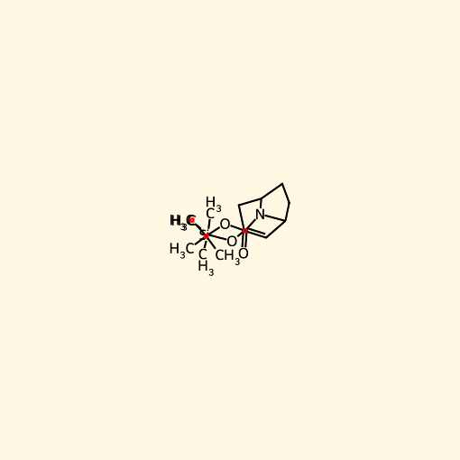 CC(C)(C)OC(=O)N1C2C=C(O[Si](C)(C)C)CC1CC2